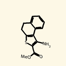 COC(=O)c1sc2c(c1N)-c1ccccc1CC2